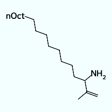 C=C(C)C(N)CCCCCCCCCCCCCCCC